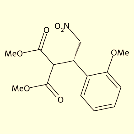 COC(=O)C(C(=O)OC)[C@H](C[N+](=O)[O-])c1ccccc1OC